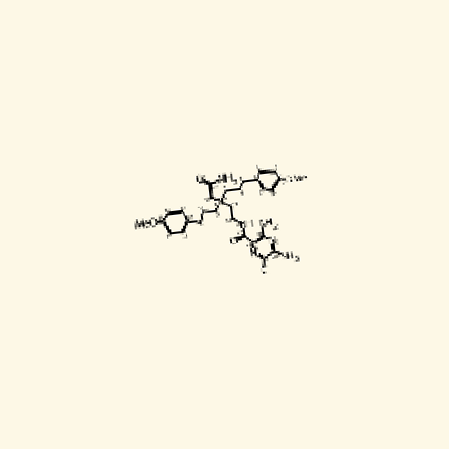 COc1ccc(CCC[N+](CCCc2ccc(OC)cc2)(CCNC(=O)c2nc(Cl)c(N)nc2N)CC(N)=O)cc1